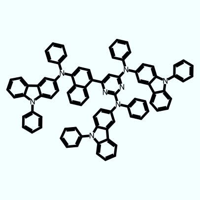 c1ccc(N(c2ccc3c(c2)c2ccccc2n3-c2ccccc2)c2cc(-c3ccc(N(c4ccccc4)c4ccc5c(c4)c4ccccc4n5-c4ccccc4)c4ccccc34)nc(N(c3ccccc3)c3ccc4c(c3)c3ccccc3n4-c3ccccc3)n2)cc1